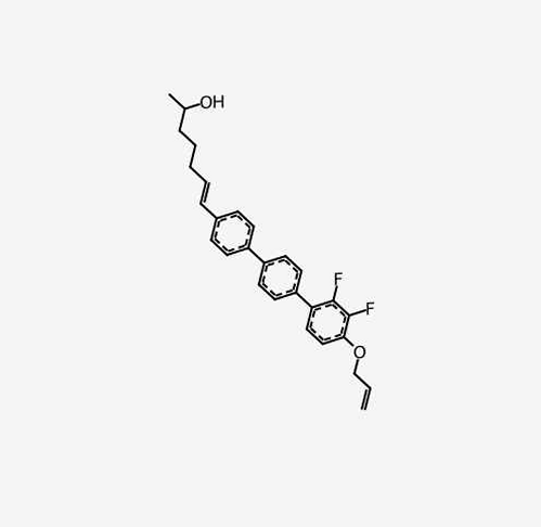 C=CCOc1ccc(-c2ccc(-c3ccc(C=CCCCC(C)O)cc3)cc2)c(F)c1F